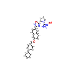 N/C(=N/O)N1CCC[C@H]1c1nc(-c2ccc3cc(OCc4ccc(-c5ccccc5)cc4)ccc3c2)no1